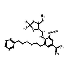 C=C(N)c1cc(CCCCCCc2ccccc2)c(NC[C@H]2OC(C)(C)CC2CN)c(NO)c1